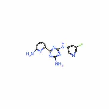 Nc1cccc(-c2nc(N)nc(Nc3cncc(F)c3)n2)n1